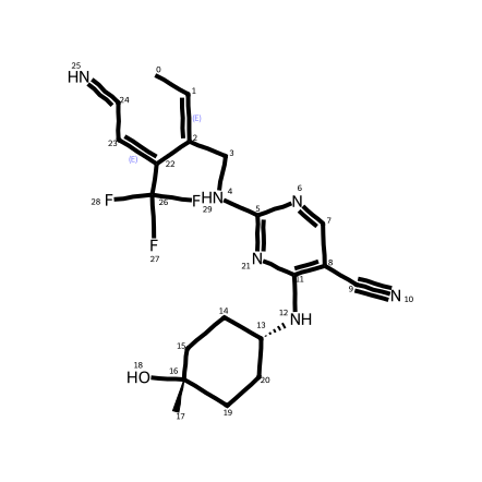 C/C=C(CNc1ncc(C#N)c(N[C@H]2CC[C@@](C)(O)CC2)n1)\C(=C/C=N)C(F)(F)F